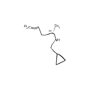 C=CC[C@H](C)NCC1CC1